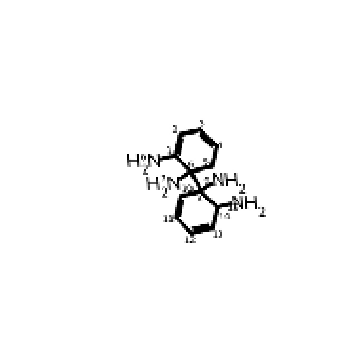 NC1=CC=CCC1(N)C1(N)C=CC=CC1N